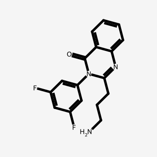 NCCCc1nc2ccccc2c(=O)n1-c1cc(F)cc(F)c1